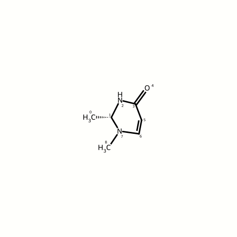 C[C@@H]1NC(=O)C=CN1C